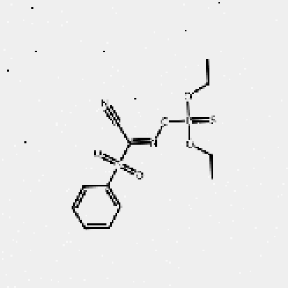 CCOP(=S)(OCC)ON=C(C#N)S(=O)(=O)c1ccccc1